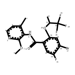 COc1nccc(C)c1NC(=O)c1cc(F)c(Br)cc1OC(C)C(F)(F)F